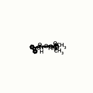 COC(=O)[C@H](COCCOCCNC(=O)OCC1c2ccccc2-c2ccccc21)NC(C)=O